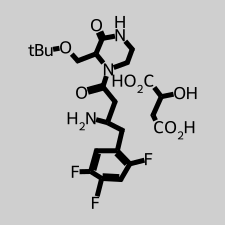 CC(C)(C)OCC1C(=O)NCCN1C(=O)CC(N)Cc1cc(F)c(F)cc1F.O=C(O)CC(O)C(=O)O